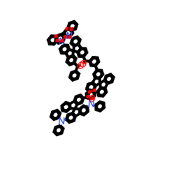 O=C(c1ccc2c(c1)C1(c3ccccc3-c3ccccc31)c1ccc(-c3cccc(C(=O)c4ccc5c(c4)C4(c6cc(C(=O)c7ccccc7)ccc6-c6ccc(N(c7ccccc7)c7ccccc7)cc64)c4cc(N(c6ccccc6)c6ccccc6)ccc4-5)c3)cc1-2)c1ccc2c(c1)C1(c3ccccc3-2)c2cc(N(c3ccccc3)c3ccccc3)ccc2-c2ccc(N(c3ccccc3)c3ccccc3)cc21